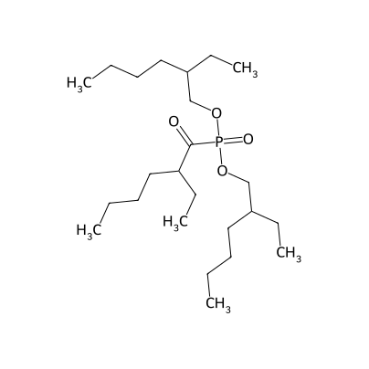 CCCCC(CC)COP(=O)(OCC(CC)CCCC)C(=O)C(CC)CCCC